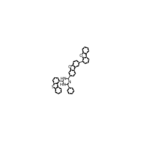 c1ccc(C2=NC(c3ccc4c(c3)oc3ccc(-c5cccc6c5oc5ccccc56)cc34)NC(c3cccc4sc5ccccc5c34)N2)cc1